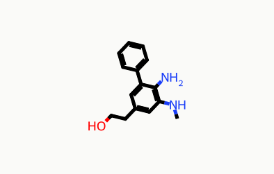 CNc1cc(CCO)cc(-c2ccccc2)c1N